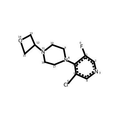 Fc1cncc(Cl)c1N1CCN(C2COC2)CC1